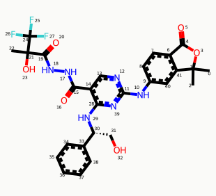 CC1(C)OC(=O)c2ccc(Nc3ncc(C(=O)NNC(=O)C(C)(O)C(F)(F)F)c(N[C@H](CO)c4ccccc4)n3)cc21